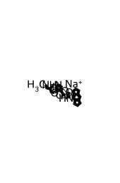 CNCC1COc2c(S(=O)(=O)[N-]C(=O)Nc3c4c(cc5c3CCC5)CCC4)cnn2C1.[Na+]